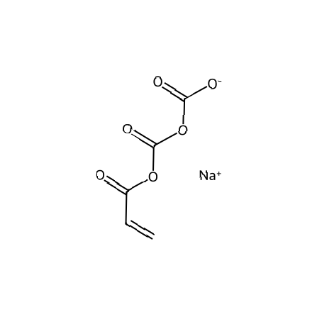 C=CC(=O)OC(=O)OC(=O)[O-].[Na+]